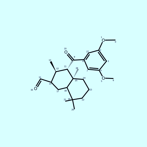 COc1cc(OC)cc(C(=O)[C@H]2[C@H](C)C(C=O)CC3C(C)(C)CCC[C@@]32C)c1